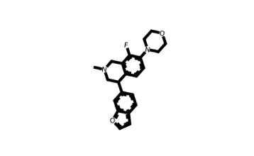 CN1Cc2c(ccc(N3CCOCC3)c2F)C(c2ccc3ccoc3c2)C1